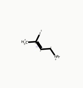 CCCC/C=C(/C)I